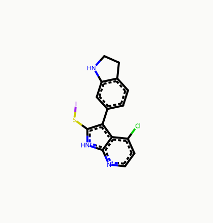 Clc1ccnc2[nH]c(SI)c(-c3ccc4c(c3)NCC4)c12